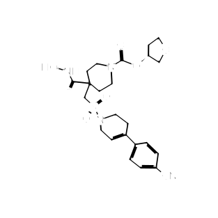 N#Cc1ccc(C2=CCN(S(=O)(=O)CC3(C(=O)NO)CCN(C(=O)O[C@H]4CCOC4)CC3)CC2)cc1